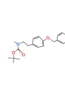 CN(CCc1ccc(OCc2ccccc2)cc1)C(=O)OC(C)(C)C